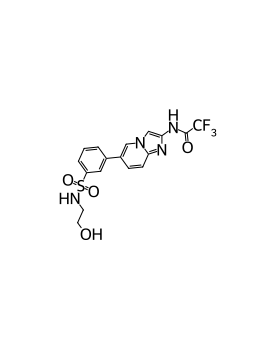 O=C(Nc1cn2cc(-c3cccc(S(=O)(=O)NCCO)c3)ccc2n1)C(F)(F)F